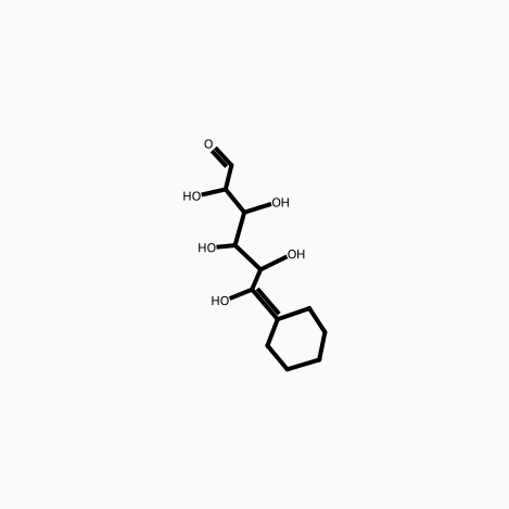 O=CC(O)C(O)C(O)C(O)C(O)=C1CCCCC1